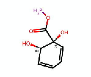 O=C(OP)[C@]1(O)C=CC=C[C@H]1O